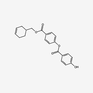 O=C(OCC1CC=CCC1)c1ccc(OC(=O)c2ccc(O)cc2)cc1